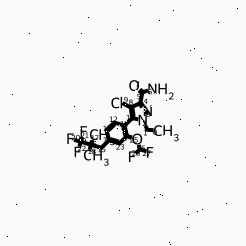 CCn1nc(C(N)=O)c(Cl)c1-c1ccc(CC(C)(C)C(F)(F)F)cc1OC(F)F